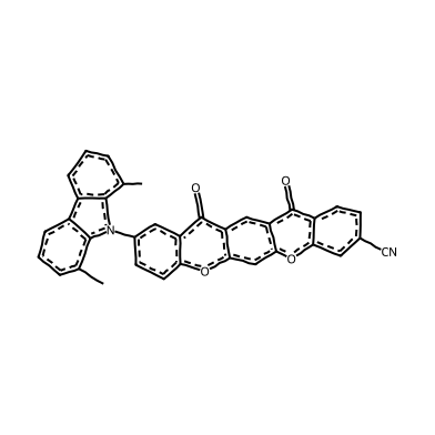 Cc1cccc2c3cccc(C)c3n(-c3ccc4oc5cc6oc7cc(C#N)ccc7c(=O)c6cc5c(=O)c4c3)c12